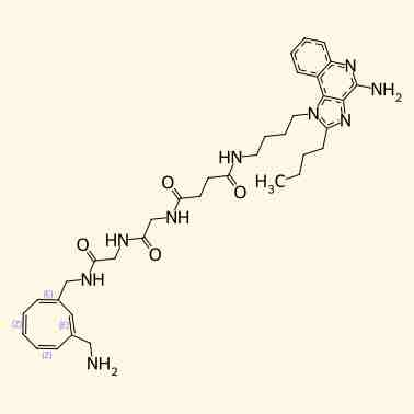 CCCCc1nc2c(N)nc3ccccc3c2n1CCCCNC(=O)CCC(=O)NCC(=O)NCC(=O)NCC1=C/C=C\C=C/C(CN)=C\1